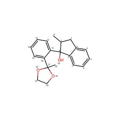 CC1Cc2ccccc2C1(O)c1ccccc1C1(C)OCCO1